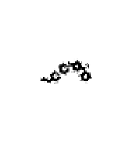 C#CCC1CCN(C2CCN(Sc3ccc(C(=O)C4=CCCC=C4)cc3)CC2)CC1